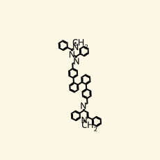 C=N/C(=C\C(=N/Cc1ccc(-c2ccccc2-c2ccccc2-c2ccc(C/N=C(\N=C(/N=C)c3ccccc3)c3ccccc3)cc2)cc1)c1ccccc1)c1ccccc1